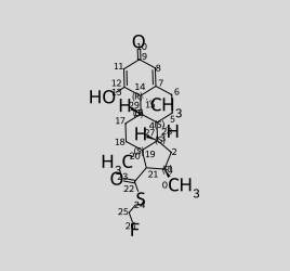 C[C@@H]1C[C@H]2[C@@H]3CCC4=CC(=O)C=C(O)[C@]4(C)[C@H]3CC[C@]2(C)C1C(=O)SCF